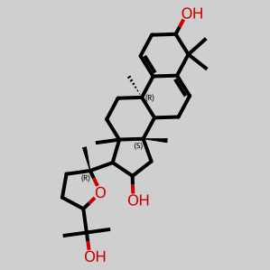 CC(C)(O)C1CC[C@](C)(C2C(O)C[C@@]3(C)C4CC=C5C(=CCC(O)C5(C)C)[C@]4(C)CCC23C)O1